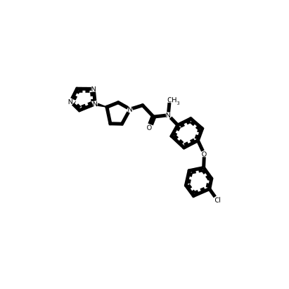 CN(C(=O)CN1CC[C@@H](n2cncn2)C1)c1ccc(Oc2cccc(Cl)c2)cc1